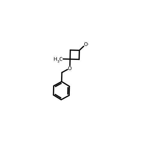 CC1(OCc2ccccc2)CC([O])C1